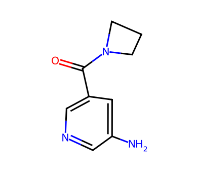 Nc1cncc(C(=O)N2CCC2)c1